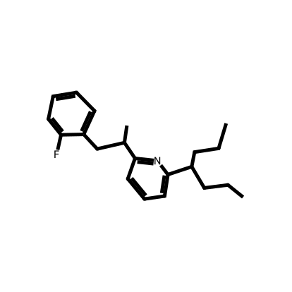 CCCC(CCC)c1cccc(C(C)Cc2ccccc2F)n1